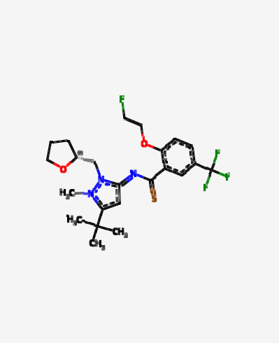 Cn1c(C(C)(C)C)cc(=NC(=S)c2cc(C(F)(F)F)ccc2OCCF)n1C[C@H]1CCCO1